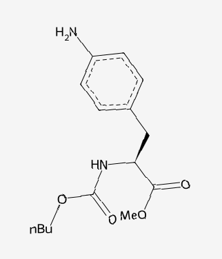 CCCCOC(=O)N[C@@H](Cc1ccc(N)cc1)C(=O)OC